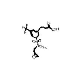 CN(CC1CO1)S(=O)(=O)c1cc(CCC(=O)O)cc(C(F)(F)F)c1